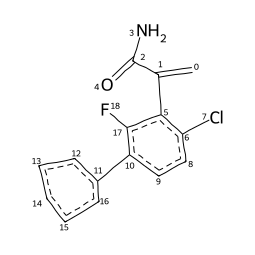 C=C(C(N)=O)c1c(Cl)ccc(-c2ccccc2)c1F